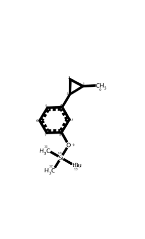 CC1CC1c1cccc(O[Si](C)(C)C(C)(C)C)c1